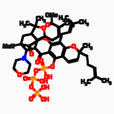 CNC12CC3C(C)(C)OC(C/C=C(/C)C(=O)OC)(C1=O)C31Oc3c(CC=C(C)C)c4c(c(OP(=O)(O)OP(=O)(O)OP(=O)(O)O)c3C(=O)C1C2N1CCOCC1)C=CC(C)(CCC=C(C)C)O4